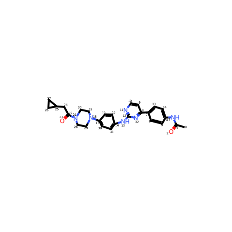 CC(=O)Nc1ccc(-c2ccnc(Nc3ccc(N4CCN(C(=O)CC5CC5)CC4)cc3)n2)cc1